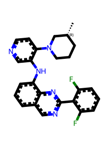 C[C@@H]1CCCN(c2ccncc2Nc2cccc3cnc(-c4c(F)cccc4F)nc23)C1